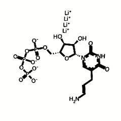 NC=CCc1cn([C@@H]2O[C@H](COP(=O)([O-])OP(=O)([O-])OP(=O)([O-])[O-])[C@@H](O)[C@H]2O)c(=O)[nH]c1=O.[Li+].[Li+].[Li+].[Li+]